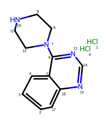 Cl.Cl.c1ccc2c(N3CCNCC3)ncnc2c1